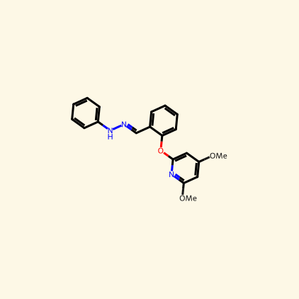 COc1cc(OC)nc(Oc2ccccc2C=NNc2ccccc2)c1